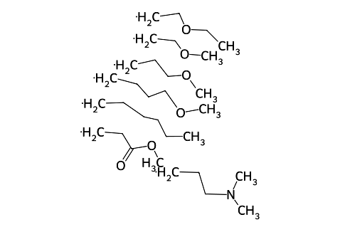 [CH2]CC(=O)OC.[CH2]CCCCC.[CH2]CCCOC.[CH2]CCN(C)C.[CH2]CCOC.[CH2]COC.[CH2]COCC